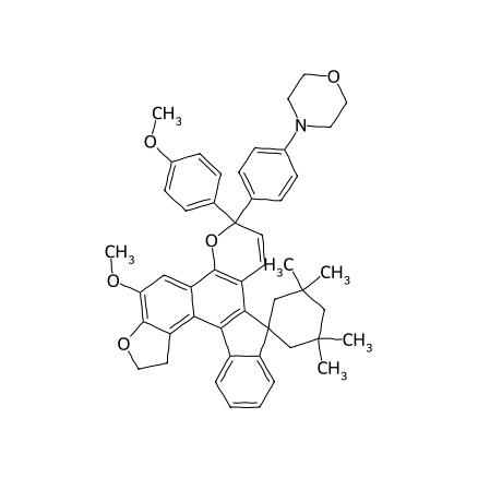 COc1ccc(C2(c3ccc(N4CCOCC4)cc3)C=Cc3c4c(c5c6c(c(OC)cc5c3O2)OCC6)-c2ccccc2C42CC(C)(C)CC(C)(C)C2)cc1